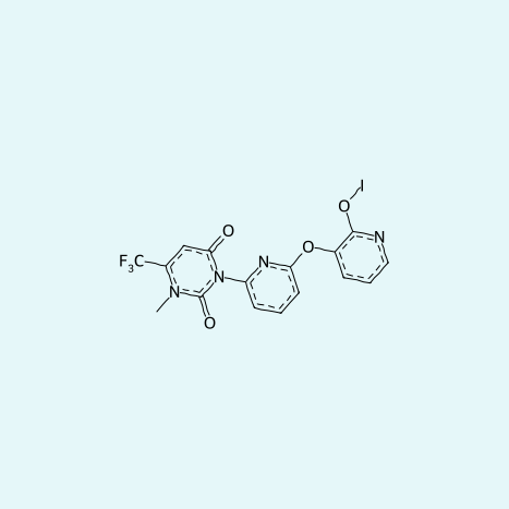 Cn1c(C(F)(F)F)cc(=O)n(-c2cccc(Oc3cccnc3OI)n2)c1=O